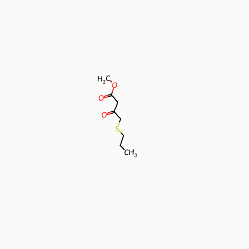 CCCSCC(=O)CC(=O)OC